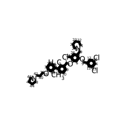 Cc1c(COc2cc(OCc3cc(Cl)cc(Cl)c3)c(CN3CCCCC3)cc2Cl)cccc1-c1cccc(OCCCN2CCCC2)c1C